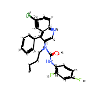 CCCCN(C(=O)Nc1ccc(F)cc1F)c1cnc2ccc(Cl)cc2c1-c1ccccc1